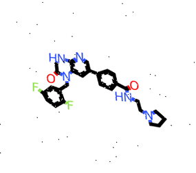 O=C(NCCN1CCCC1)c1ccc(-c2cnc3c(c2)N(Cc2cc(F)ccc2F)C(=O)CN3)cc1